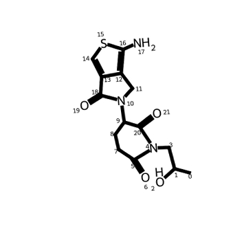 CC(O)CN1C(=O)CCC(N2Cc3c(csc3N)C2=O)C1=O